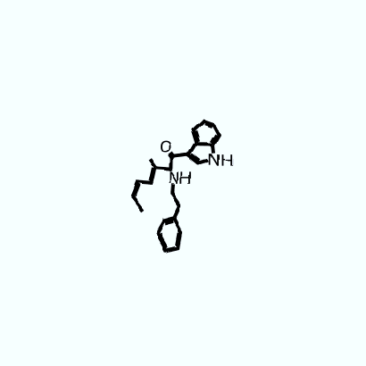 C/C=C\C=C(/C)C(NCCc1ccccc1)C(=O)c1c[nH]c2ccccc12